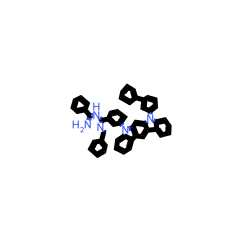 NC(NC(/N=C/c1ccccc1)c1cccc(-n2c3ccccc3c3cc4c5ccccc5n(-c5cccc(-c6ccccc6)c5)c4cc32)c1)c1ccccc1